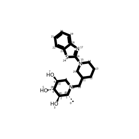 C[C@@H]1[C@@H](O)[C@H](O)[C@@H](O)CN1CC1CCCN(c2nc3ccccc3s2)C1